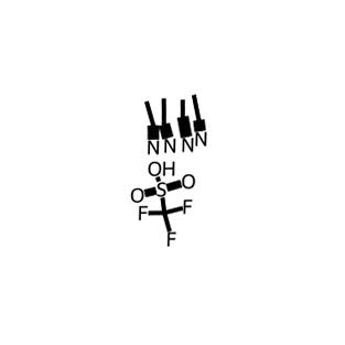 CC#N.CC#N.CC#N.CC#N.O=S(=O)(O)C(F)(F)F